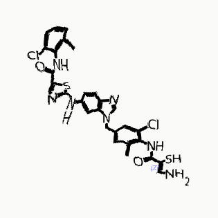 Cc1cc(Cn2cnc3ccc(Nc4ncc(C(=O)Nc5c(C)cccc5Cl)s4)cc32)cc(Cl)c1NC(=O)/C(S)=C/N